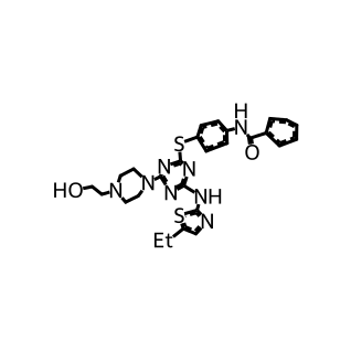 CCc1cnc(Nc2nc(Sc3ccc(NC(=O)c4ccccc4)cc3)nc(N3CCN(CCO)CC3)n2)s1